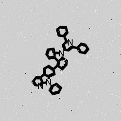 c1ccc(-c2cc(-n3c4ccccc4c4c(-c5ccc6c7cccnc7n(-c7ccccc7)c6c5)cccc43)cc(-c3ccccc3)n2)cc1